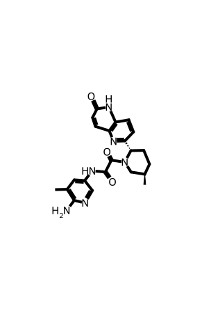 Cc1cc(NC(=O)C(=O)N2C[C@H](C)CC[C@H]2c2ccc3[nH]c(=O)ccc3n2)cnc1N